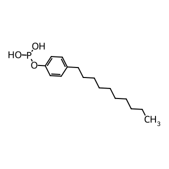 CCCCCCCCCCc1ccc(OP(O)O)cc1